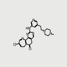 CN1CCN(CCc2cncc(Nc3ncc4c(n3)C3=C(CC=C(Cl)C=N3)C(=O)C4)c2)CC1